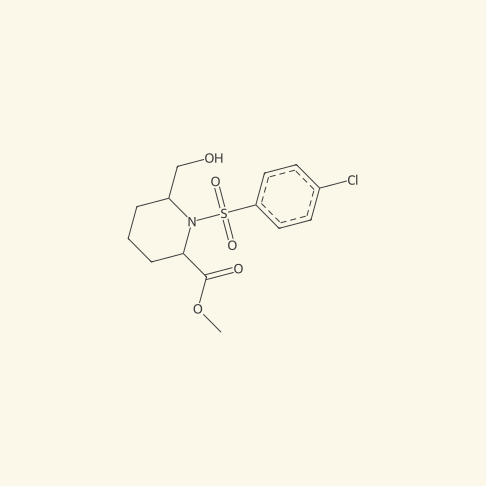 COC(=O)C1CCCC(CO)N1S(=O)(=O)c1ccc(Cl)cc1